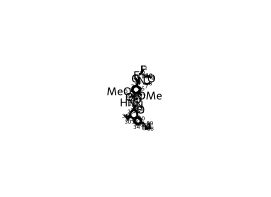 COc1cc(C(=O)N2CCOC[C@H]2C(F)F)cc(OC)c1S(=O)(=O)Nc1noc2c1CC1(CC1)c1ccc(N3CCC3)cc1-2